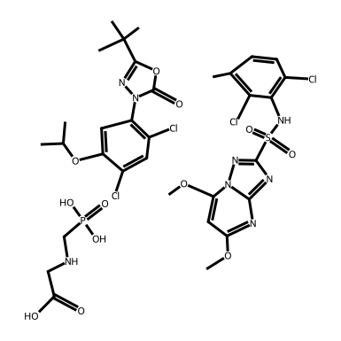 CC(C)Oc1cc(-n2nc(C(C)(C)C)oc2=O)c(Cl)cc1Cl.COc1cc(OC)n2nc(S(=O)(=O)Nc3c(Cl)ccc(C)c3Cl)nc2n1.O=C(O)CNCP(=O)(O)O